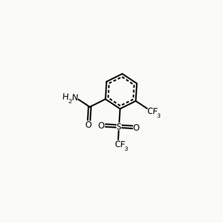 NC(=O)c1cccc(C(F)(F)F)c1S(=O)(=O)C(F)(F)F